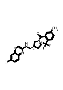 Cc1ccc(C(F)(F)F)c(C(=O)N2CC[C@@H](CNc3cnc4cc(Cl)ccc4n3)C2)c1